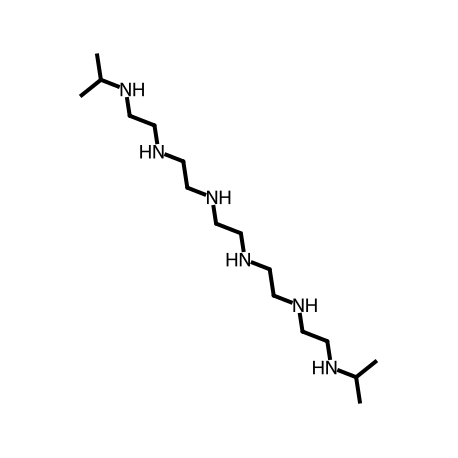 CC(C)NCCNCCNCCNCCNCCNC(C)C